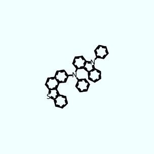 c1ccc(N(c2ccc3ccc4sc5ccccc5c4c3c2)c2cccc3c2c2ccccc2n3-c2ccccc2)cc1